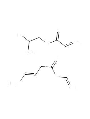 C=CC(=O)OCC(CC)CCCC.C=COC(=O)CC=CC(=O)O